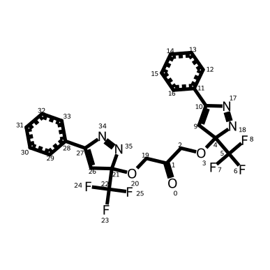 O=C(COC1(C(F)(F)F)C=C(c2ccccc2)N=N1)COC1(C(F)(F)F)C=C(c2ccccc2)N=N1